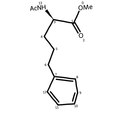 COC(=O)[C@@H](CCCc1ccccc1)NC(C)=O